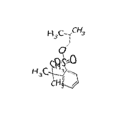 CC(C)COS(=O)(=O)c1ccccc1C(C)(C)C